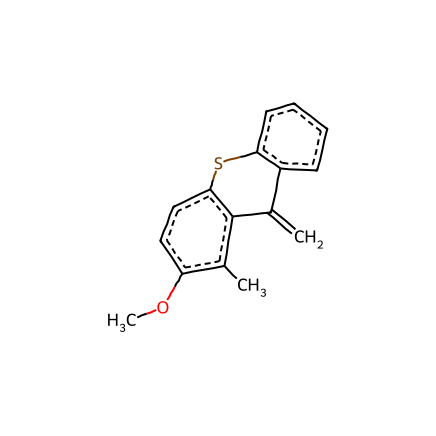 C=C1c2ccccc2Sc2ccc(OC)c(C)c21